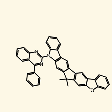 CC1(C)c2cc3oc4ccccc4c3cc2-c2cc3c4ccccc4n(-c4nc(-c5ccccc5)c5ccccc5n4)c3cc21